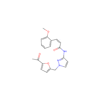 COc1ccccc1/C=C\C(=O)Nc1ccn(Cc2ccc(C(C)=O)o2)n1